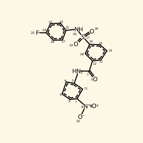 O=C(Nc1cccc([N+](=O)[O-])c1)c1cccc(S(=O)(=O)Nc2ccc(F)cc2)c1